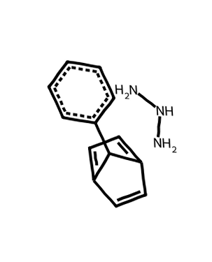 C1=CC2=CC=C1C2c1ccccc1.NNN